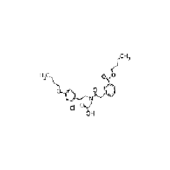 CCCCOC(=O)c1cccc(CC(=O)N(CCc2ccc(OCCCC)cc2Cl)CC(=O)O)c1